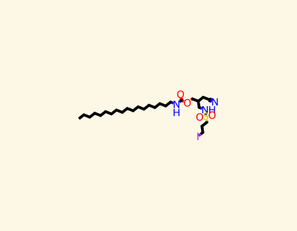 CCCCCCCCCCCCCCCCCCNC(=O)OCC(CC#N)CNS(=O)(=O)CCCI